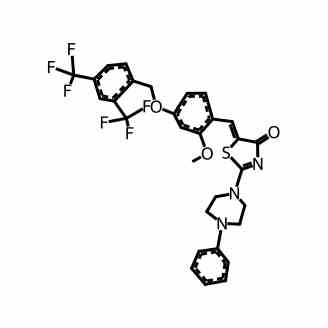 COc1cc(OCc2ccc(C(F)(F)F)cc2C(F)(F)F)ccc1C=C1SC(N2CCN(c3ccccc3)CC2)=NC1=O